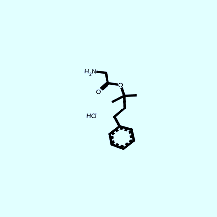 CC(C)(CCc1ccccc1)OC(=O)CN.Cl